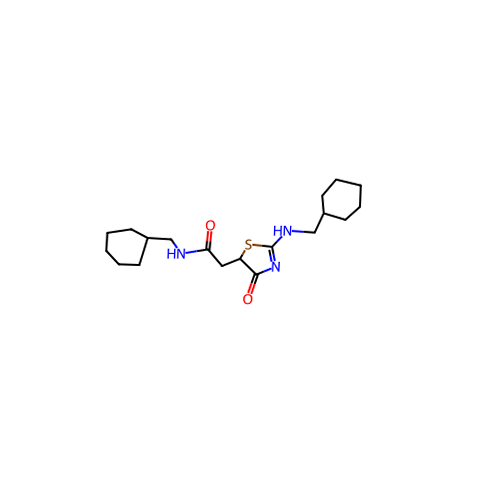 O=C(CC1SC(NCC2CCCCC2)=NC1=O)NCC1CCCCC1